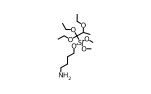 CCOC(C)C(OCC)(OCC)[Si](OC)(OC)OCCCCN